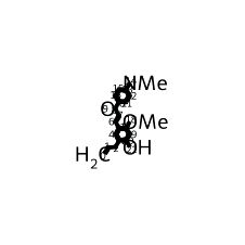 C=CCc1cc(C=CC(=O)c2ccc(NC)cc2)c(OC)cc1O